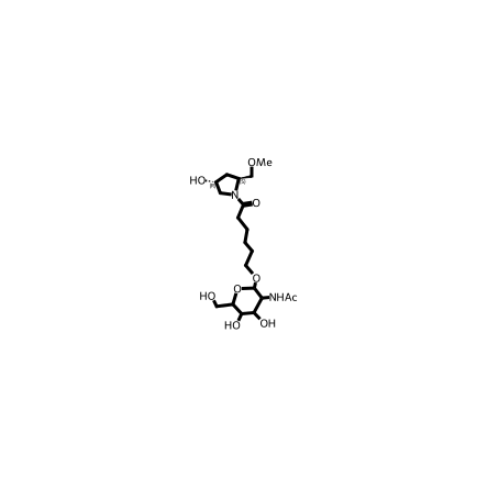 COC[C@@H]1C[C@@H](O)CN1C(=O)CCCCCOC1OC(CO)C(O)C(O)C1NC(C)=O